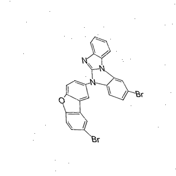 Brc1ccc2oc3ccc(-n4c5ccc(Br)cc5n5c6ccccc6nc45)cc3c2c1